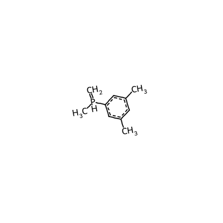 C=[PH](C)c1cc(C)cc(C)c1